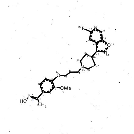 COc1cc(/C(C)=N/O)ccc1OCCCN1CCC(c2noc3ccc(F)cc23)CC1